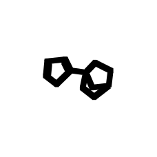 C1=CCC(C23CCC(CC2)C3)=C1